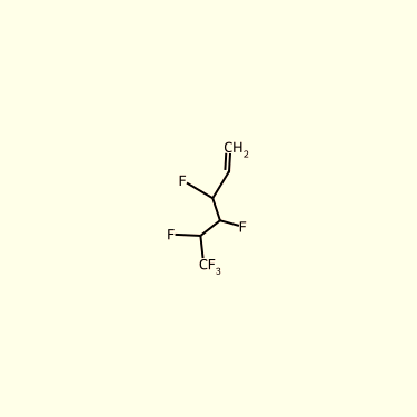 C=CC(F)C(F)C(F)C(F)(F)F